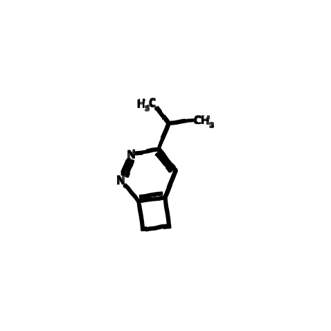 CC(C)c1cc2c(nn1)CC2